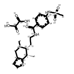 C[C@@H]1c2sccc2CN(C)[C@@H]1CCNC(=O)c1ccc(NS(C)(=O)=O)cc1.O=C(O)C(=O)O